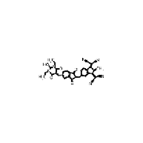 C=C1C(=C(C#N)C#N)c2ccc(C=C3C(=O)c4ccc(C=C5C(=O)N(CC)C(O)N(CC)C5=O)cc4C3=O)cc2C1=C(C#N)C#N